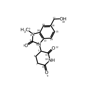 Cn1c(=O)n(C2CCC(=O)NC2=O)c2ccc(CO)cc21